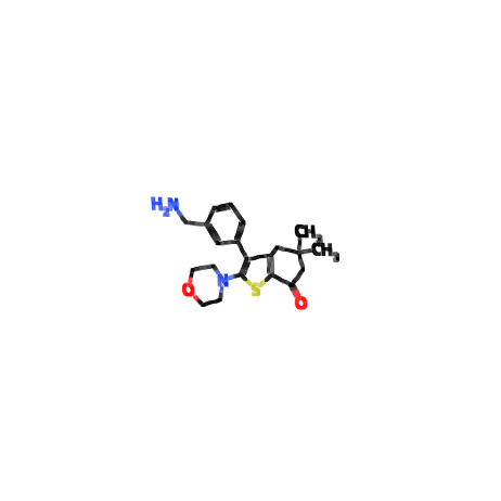 CC1(C)CC(=O)c2sc(N3CCOCC3)c(-c3cccc(CN)c3)c2C1